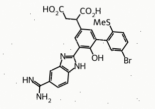 CSc1ccc(Br)cc1-c1cc(C(CC(=O)O)C(=O)O)cc(-c2nc3cc(C(=N)N)ccc3[nH]2)c1O